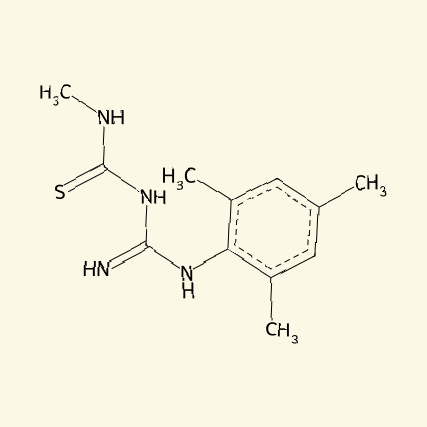 CNC(=S)NC(=N)Nc1c(C)cc(C)cc1C